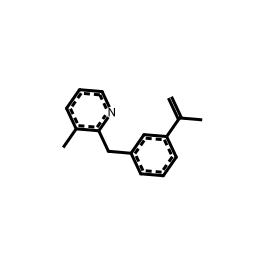 C=C(C)c1cccc(Cc2ncccc2C)c1